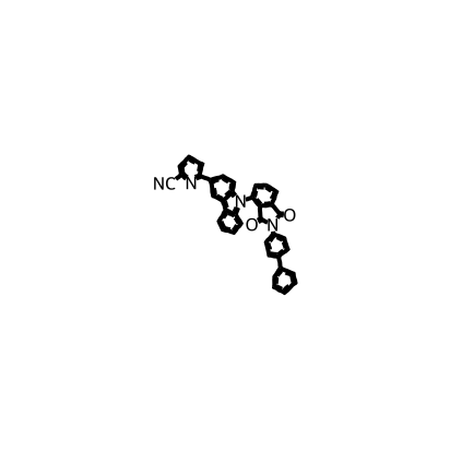 N#Cc1cccc(-c2ccc3c(c2)c2ccccc2n3-c2cccc3c2C(=O)N(c2ccc(-c4ccccc4)cc2)C3=O)n1